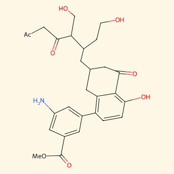 COC(=O)c1cc(N)cc(-c2ccc(O)c3c2CC(CC(CCO)C(CO)C(=O)CC(C)=O)CC3=O)c1